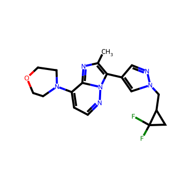 Cc1nc2c(N3CCOCC3)ccnn2c1-c1cnn(CC2CC2(F)F)c1